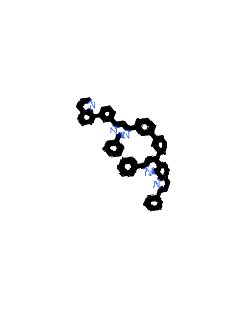 c1ccc(-c2ccc3ccc4c(-c5cccc(-c6cccc(-c7cc(-c8cccc(-c9cccc%10cccnc9%10)c8)nc(-c8ccccc8)n7)c6)c5)cc(-c5ccccc5)nc4c3n2)cc1